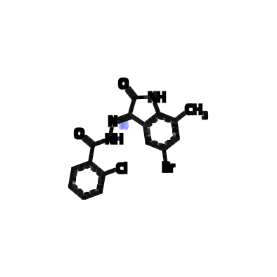 Cc1cc(Br)cc2c1NC(=O)/C2=N/NC(=O)c1ccccc1Cl